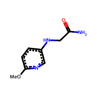 COc1ccc(NCC(N)=O)cn1